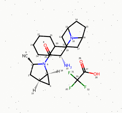 N#C[C@@H]1C[C@@H]2C[C@@H]2N1C(=O)[C@@H](N)C1CC2CCC(C1)N2CC1CCCCC1.O=C(O)C(F)(F)F